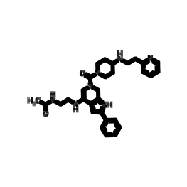 CC(=O)NCCNC1=CN(C(=O)N2CCC(NCCc3ccccn3)CC2)Cc2[nH]c(-c3ccccc3)cc21